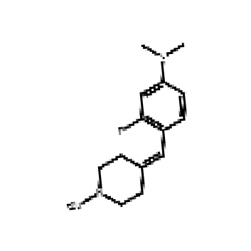 CN(C)c1ccc(C=C2CCN(C(C)(C)C)CC2)c(F)c1